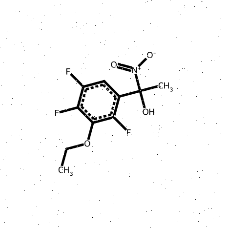 CCOc1c(F)c(F)cc(C(C)(O)[N+](=O)[O-])c1F